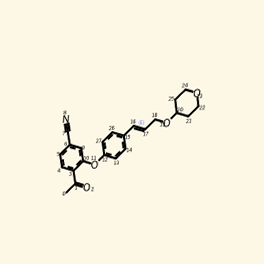 CC(=O)c1ccc(C#N)cc1Oc1ccc(/C=C/COC2CCOCC2)cc1